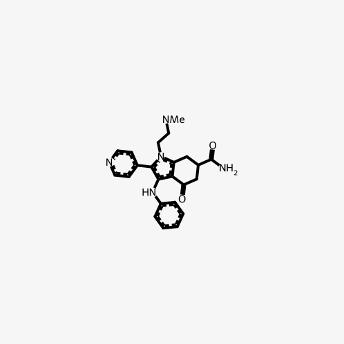 CNCCn1c2c(c(Nc3ccccc3)c1-c1ccncc1)C(=O)CC(C(N)=O)C2